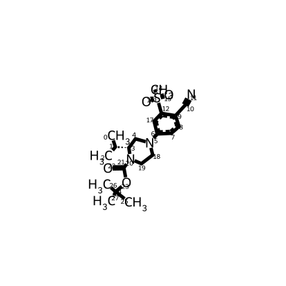 CC(C)[C@@H]1CN(c2ccc(C#N)c(S(C)(=O)=O)c2)CCN1C(=O)OC(C)(C)C